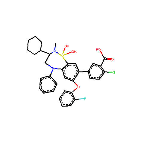 CN1C(C2CCCCC2)CN(c2ccccc2)c2cc(Oc3ccccc3F)c(-c3ccc(Cl)c(C(=O)O)c3)cc2S1(O)O